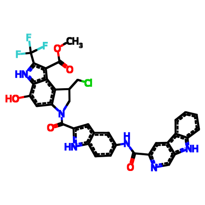 COC(=O)c1c(C(F)(F)F)[nH]c2c(O)cc3c(c12)C(CCl)CN3C(=O)c1cc2cc(NC(=O)c3cc4c(cn3)[nH]c3ccccc34)ccc2[nH]1